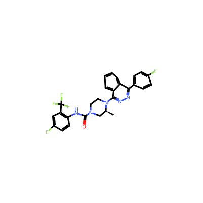 C[C@H]1CN(C(=O)Nc2ccc(F)cc2C(F)(F)F)CCN1c1nnc(-c2ccc(F)cc2)c2ccccc12